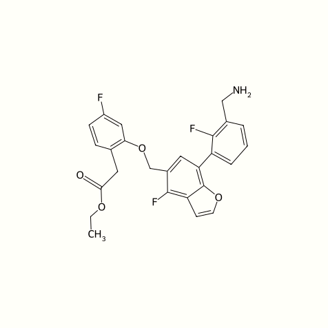 CCOC(=O)Cc1ccc(F)cc1OCc1cc(-c2cccc(CN)c2F)c2occc2c1F